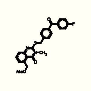 COCc1cccc2nc(SCc3ccc(C(=O)c4ccc(F)cc4)cc3)n(C)c(=O)c12